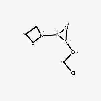 ClCOn1on1N1CCC1